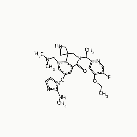 CCOc1cc(C(C)N2CC3(CNC3)c3c(CN(C)C)cc(Cn4ccnc4NC)cc3C2=O)ncc1F